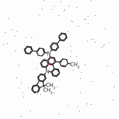 CC1C=CC(c2cc(N(C3=CC=C(c4ccccc4)CC3)c3ccc(-c4ccccc4)cc3)ccc2-c2ccccc2N(c2ccccc2)c2ccc3c(c2)C(C)(C)c2ccccc2-3)=CC1